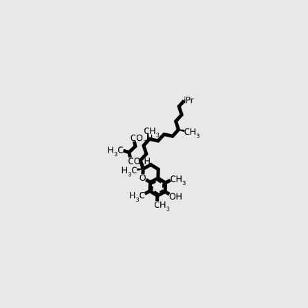 CC(CC(=O)O)C(=O)O.Cc1c(C)c2c(c(C)c1O)CC[C@@](C)(CCC[C@H](C)CCC[C@H](C)CCCC(C)C)O2